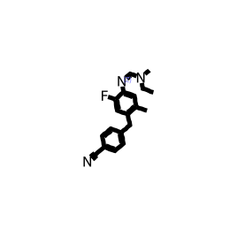 CCN(C)/C=N\c1cc(C)c(Cc2ccc(C#N)cc2)cc1F